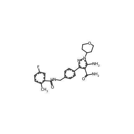 Cc1ccc(F)cc1C(=O)NCc1ccc(-c2nn(C3CCOCC3)c(N)c2C(N)=O)cc1